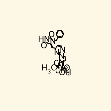 CC(C)(C)N(C(=O)O)C1CCN(c2nccc(C=C3C(=O)NC(=O)N3Cc3ccccc3)n2)C1